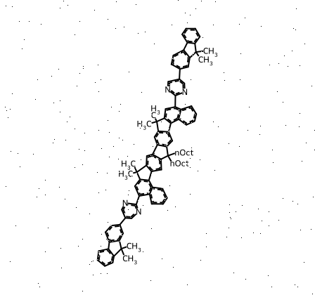 CCCCCCCCC1(CCCCCCCC)c2cc3c(cc2-c2cc4c(cc21)-c1c(cc(-c2ncc(-c5ccc6c(c5)C(C)(C)c5ccccc5-6)cn2)c2ccccc12)C4(C)C)C(C)(C)c1cc(-c2ncc(-c4ccc5c(c4)C(C)(C)c4ccccc4-5)cn2)c2ccccc2c1-3